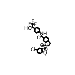 COc1ccc(Cl)cc1S(=O)(=O)N1CCc2ccc(C(=O)Nc3ccc(C(O)C(F)(F)F)cc3)cc21